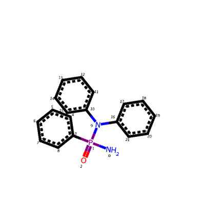 NP(=O)(c1ccccc1)N(c1ccccc1)c1ccccc1